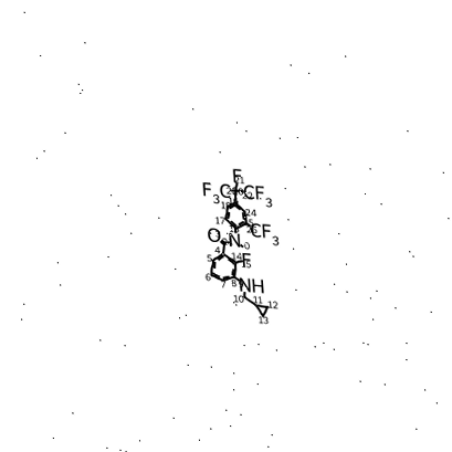 CN(C(=O)c1cccc(NCC2CC2)c1F)c1ccc(C(F)(C(F)(F)F)C(F)(F)F)cc1C(F)(F)F